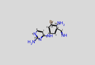 N=Cc1cc(Nc2ccnc(N)n2)cc(Br)c1N